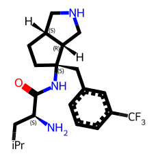 CC(C)C[C@H](N)C(=O)N[C@]1(Cc2cccc(C(F)(F)F)c2)CC[C@@H]2CNC[C@@H]21